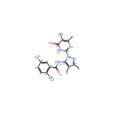 CCc1c(C)nc(-n2nc(C)c(C)c2NC(=O)c2cc(Cl)ccc2C(F)(F)F)[nH]c1=O